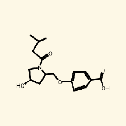 CC(C)CC(=O)N1C[C@H](O)CC1COc1ccc(C(=O)O)cc1